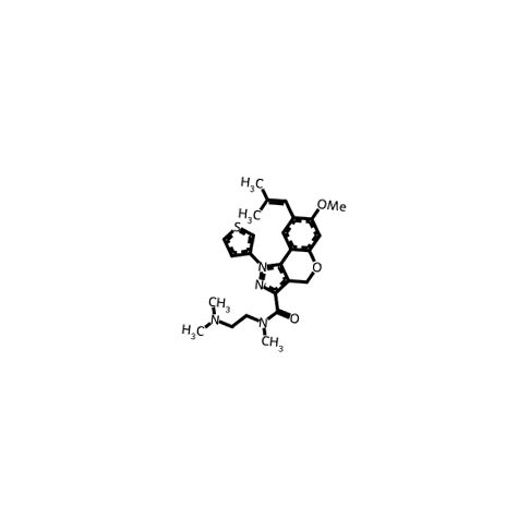 COc1cc2c(cc1C=C(C)C)-c1c(c(C(=O)N(C)CCN(C)C)nn1-c1ccsc1)CO2